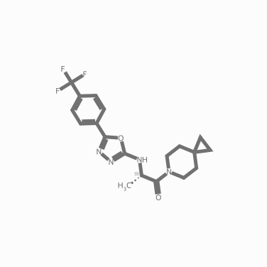 C[C@H](Nc1nnc(-c2ccc(C(F)(F)F)cc2)o1)C(=O)N1CCC2(CC1)CC2